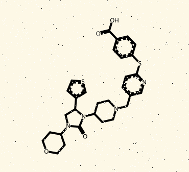 O=C(O)c1ccc(Sc2ccc(CN3CCC(N4C(=O)N(C5CCOCC5)CC4c4ccsc4)CC3)cn2)cc1